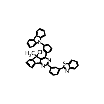 CC1(C)c2ccccc2-c2nc(-c3cccc(-c4nc5ccccc5s4)c3)nc(-c3cccc(-n4c5ccccc5c5ccccc54)c3)c21